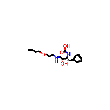 CCCCOCCCNC[C@@H](O)[C@H](Cc1ccccc1)NC(=O)O